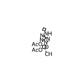 C#C[C@H]1O[C@@H](n2cnc3c(NC4CCC4)ncnc32)[C@H](OC(C)=O)[C@@H]1OC(C)=O